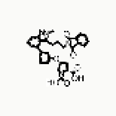 Cn1nc2cccc(-c3cccc(O[C@H]4C[C@@H](C(=O)O)N(C(=O)O)C4)c3)c2c1CCCN1C(=O)c2ccccc2C1=O